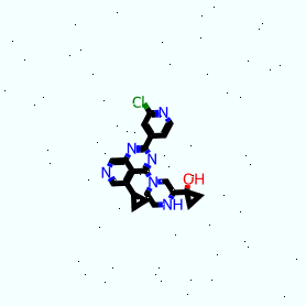 OC1(C2CN(c3nc(-c4ccnc(Cl)c4)nc4cncc(C5CC5)c34)CCN2)CC1